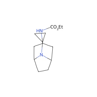 CCOC(=O)NC1CC2CCC(C1)N2C1CC1